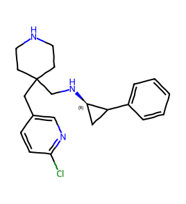 Clc1ccc(CC2(CN[C@@H]3CC3c3ccccc3)CCNCC2)cn1